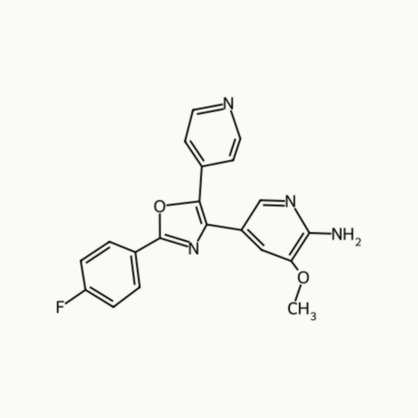 COc1cc(-c2nc(-c3ccc(F)cc3)oc2-c2ccncc2)cnc1N